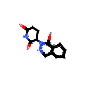 O=C1CCC(n2ncc3ccccc3c2=O)C(=O)N1